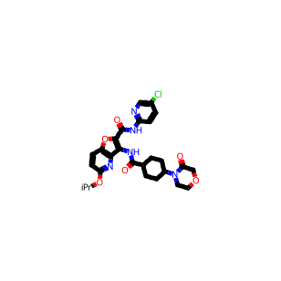 CC(C)Oc1ccc2oc(C(=O)Nc3ccc(Cl)cn3)c(NC(=O)C3CCC(N4CCOCC4=O)CC3)c2n1